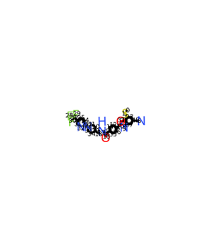 CSc1cc(C#N)cc2nc(-c3ccc(C(=O)NCC4CCN(c5ccc(C(F)(F)F)cn5)CC4)cc3)oc12